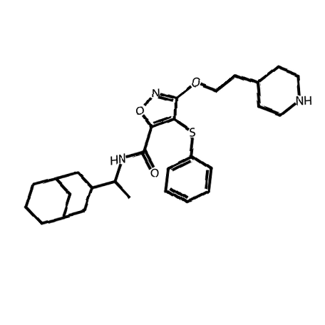 CC(NC(=O)c1onc(OCCC2CCNCC2)c1Sc1ccccc1)C1CC2CCCC(C2)C1